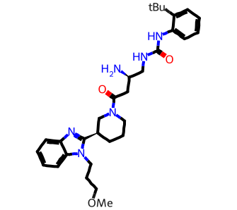 COCCCn1c([C@@H]2CCCN(C(=O)C[C@@H](N)CNC(=O)Nc3ccccc3C(C)(C)C)C2)nc2ccccc21